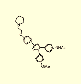 COc1ccc(-n2nc(-c3ccc(OCCN4CCCCC4)cc3)cc2-c2ccc(NC(C)=O)cc2)cc1